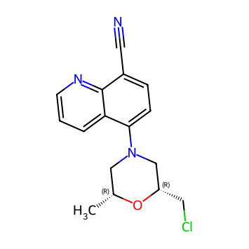 C[C@@H]1CN(c2ccc(C#N)c3ncccc23)C[C@H](CCl)O1